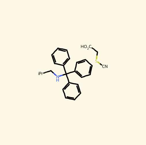 CC(C)CNC(c1ccccc1)(c1ccccc1)c1ccccc1.N#CSCC(=O)O